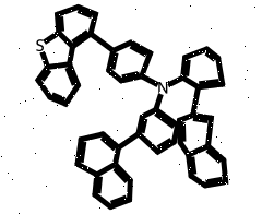 c1cc(-c2cccc3ccccc23)cc(N(c2ccc(-c3cccc4sc5ccccc5c34)cc2)c2ccccc2-c2ccc3ccccc3c2)c1